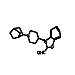 O=CC1Oc2ccccc2N1C1CCN(C2CC3CCC2C3)CC1